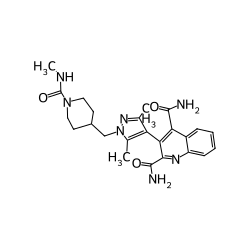 CNC(=O)N1CCC(Cn2nc(C)c(-c3c(C(N)=O)nc4ccccc4c3C(N)=O)c2C)CC1